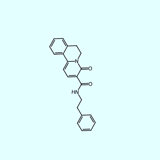 O=C(NCCc1ccccc1)c1ccc2n(c1=O)CCc1ccccc1-2